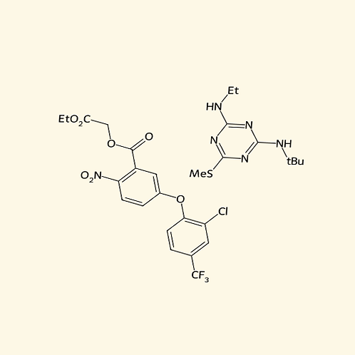 CCNc1nc(NC(C)(C)C)nc(SC)n1.CCOC(=O)COC(=O)c1cc(Oc2ccc(C(F)(F)F)cc2Cl)ccc1[N+](=O)[O-]